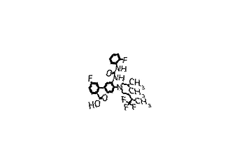 CC(C)CN(CCC(C)C(F)(F)F)c1ccc(-c2cc(F)ccc2C(=O)O)cc1NC(=O)Nc1ccccc1F